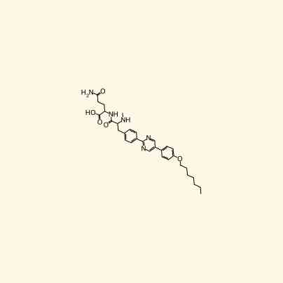 CCCCCCCOc1ccc(-c2cnc(-c3ccc(CC(NC)C(=O)NC(CCC(N)=O)C(=O)O)cc3)nc2)cc1